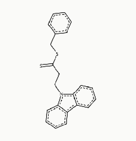 S=C(CCn1c2ccccc2c2ccccc21)SCc1ccccc1